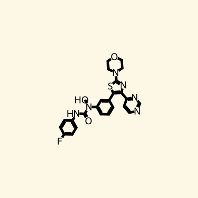 O=C(Nc1ccc(F)cc1)N(O)c1cccc(-c2sc(N3CCOCC3)nc2-c2ccncn2)c1